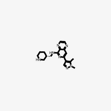 Cc1c(-c2cc3nccnc3c(NC[C@H]3CCCNC3)n2)cnn1C